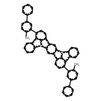 Cc1ccc(-c2ccccc2)cc1-c1ccc2c3cc4c(cc3n3c5ccccc5c1c23)c1ccc(-c2cc(-c3ccccc3)ccc2C)c2c3ccccc3n4c12